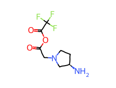 N[C@@H]1CCN(CC(=O)OC(=O)C(F)(F)F)C1